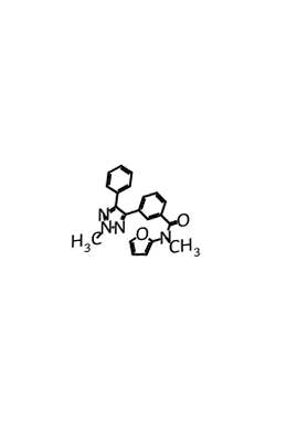 CN(C(=O)c1cccc(-c2nn(C)nc2-c2ccccc2)c1)c1ccco1